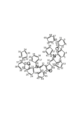 C1=CC2c3cccc(N(C4=CC5c6cc(N(c7ccccc7)c7cccc8c7OC7C(c9ccccc9)=CC=CC87)c7ccccc7c6OC5c5ccccc54)c4ccccc4)c3OC2C(c2ccccc2)=C1